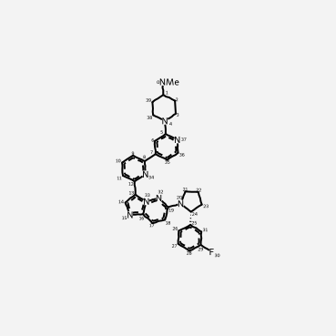 CNC1CCN(c2cc(-c3cccc(-c4cnc5ccc(N6CCC[C@@H]6c6cccc(F)c6)nn45)n3)ccn2)CC1